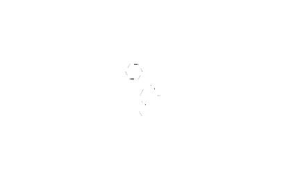 COC(=O)N1C=C(c2ccccc2)NC(=O)C1C(C)C